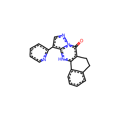 O=c1c2c([nH]c3c(-c4ccccn4)cnn13)-c1ccccc1CC2